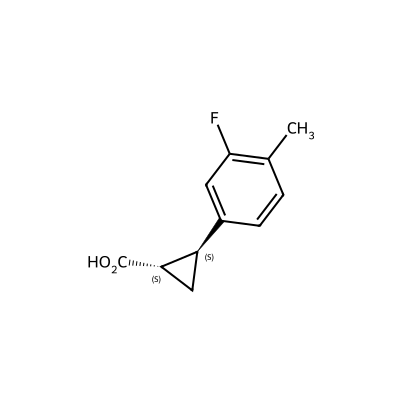 Cc1ccc([C@H]2C[C@@H]2C(=O)O)cc1F